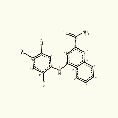 NC(=O)c1nc(Nc2cc(Cl)c(Cl)cc2F)c2c[c]ccc2n1